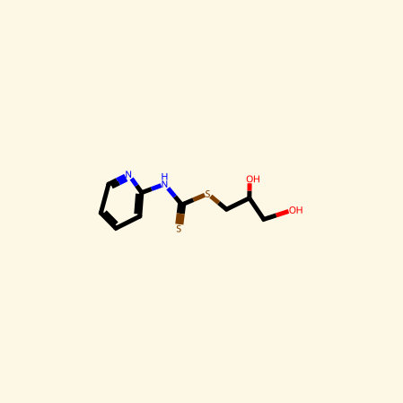 OCC(O)CSC(=S)Nc1ccccn1